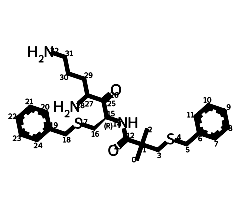 CC(C)(CSCc1ccccc1)C(=O)N[C@@H](CSCc1ccccc1)C(=O)C(N)CCCN